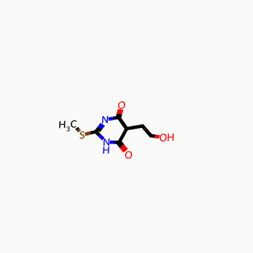 CSC1=NC(=O)C(CCO)C(=O)N1